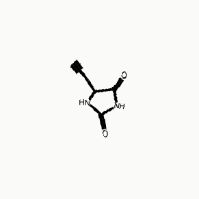 C#CC1NC(=O)NC1=O